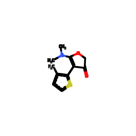 CN(C)C1=C(c2sccc2C(F)(F)F)C(=O)CO1